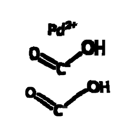 O=[C-]O.O=[C-]O.[Pd+2]